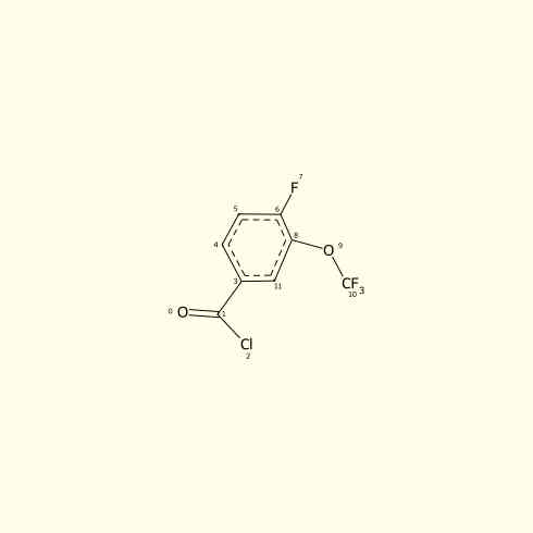 O=C(Cl)c1ccc(F)c(OC(F)(F)F)c1